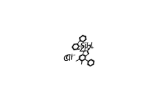 CC1=Cc2c(cc(C)c(C)c2-c2ccccc2)[CH]1[Zr+2]1[c]2cccc3c2[SiH]1c1ccccc1-3.[Cl-].[Cl-]